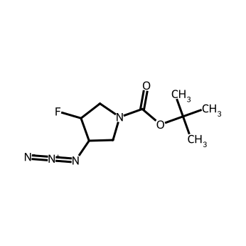 CC(C)(C)OC(=O)N1CC(F)C(N=[N+]=[N-])C1